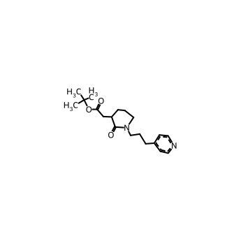 CC(C)(C)OC(=O)CC1CCCN(CCCc2ccncc2)C1=O